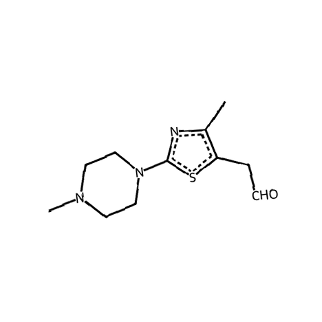 Cc1nc(N2CCN(C)CC2)sc1CC=O